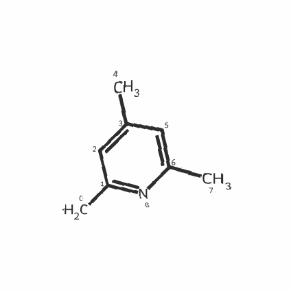 [CH2]c1cc(C)cc(C)n1